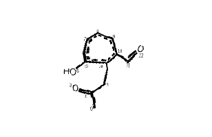 CC(=O)Cc1c(O)cccc1C=O